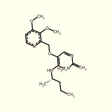 C=C(N)/N=C\C(OCc1nccc(OC)c1OC)=C(/C)N[C@@H](C)CCC